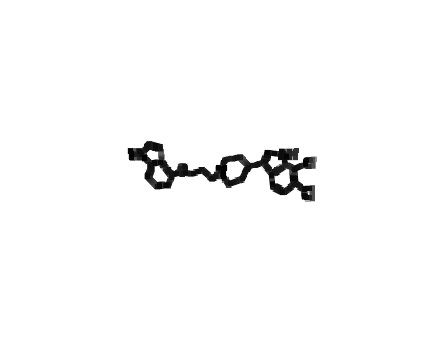 Clc1ccc2c(C3CCN(CCCOc4cccc5[nH]ccc45)CC3)c[nH]c2c1Cl